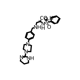 O=C(O)[C@H](CNCc1ccc(N2CCN(C3=NCCCN3)CC2)cc1)NS(=O)(=O)c1ccccc1